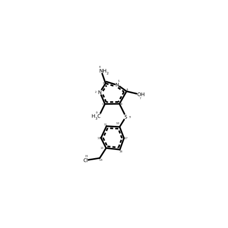 Cc1nc(N)nc(O)c1Sc1ccc(CCl)cc1